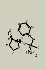 CC(C)(N)Cc1ccccc1.O=C1CCCN1